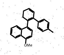 COc1ccc(C2=C(c3ccc(C)cc3)C=CC[CH]2)c2ccccc12